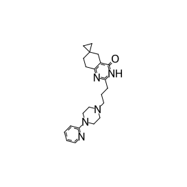 O=c1[nH]c(CCCN2CCN(c3ccccn3)CC2)nc2c1CC1(CC2)CC1